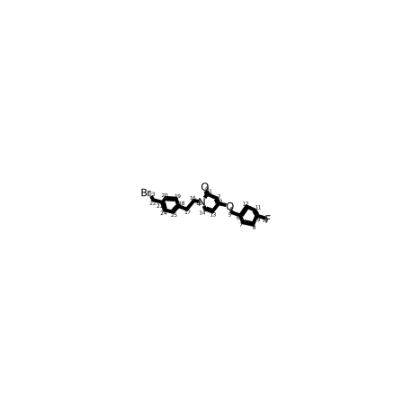 O=c1cc(OCc2ccc(F)cc2)ccn1CCc1ccc(CBr)cc1